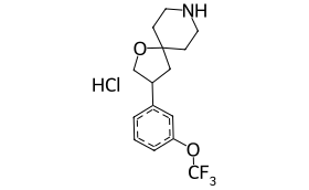 Cl.FC(F)(F)Oc1cccc(C2COC3(CCNCC3)C2)c1